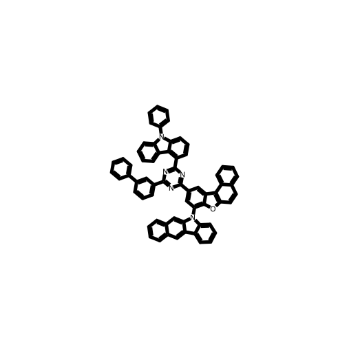 c1ccc(-c2cccc(-c3nc(-c4cc(-n5c6ccccc6c6cc7ccccc7cc65)c5oc6ccc7ccccc7c6c5c4)nc(-c4cccc5c4c4ccccc4n5-c4ccccc4)n3)c2)cc1